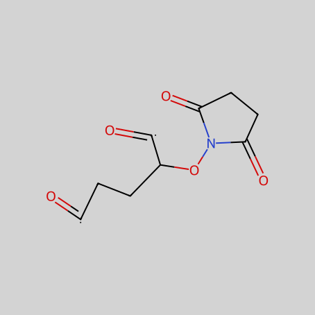 O=[C]CCC([C]=O)ON1C(=O)CCC1=O